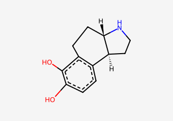 Oc1ccc2c(c1O)CC[C@@H]1NCC[C@@H]21